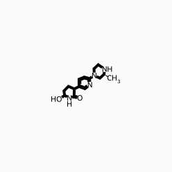 C[C@@H]1CN(c2ccc(C3CCC(O)NC3=O)cn2)CCN1